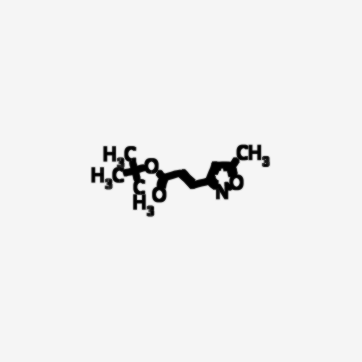 Cc1cc(C=CC(=O)OC(C)(C)C)no1